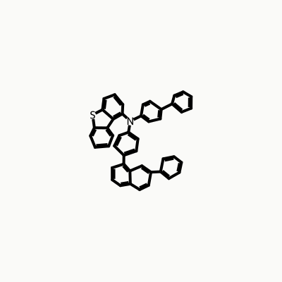 c1ccc(-c2ccc(N(c3ccc(-c4cccc5ccc(-c6ccccc6)cc45)cc3)c3cccc4sc5ccccc5c34)cc2)cc1